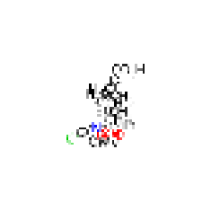 CC[C@@]12CC[C@@]3([C@@H](O)CN(Cc4ccc(Cl)cc4)C(=O)COC)CC(=O)C(C(C)C)=C3[C@H]1CC[C@@H]1[C@@]3(C)CC=C(c4ccc(C(=O)O)cc4)C(C)(C)[C@@H]3CC[C@]12C